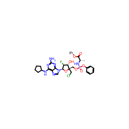 CC(C)OC(=O)[C@H](C)N[P@@](=O)(OC[C@@]1(CCl)O[C@@H](n2cnc3c(NC4CCCC4)nc(N)nc32)[C@@H](F)[C@@H]1O)Oc1ccccc1